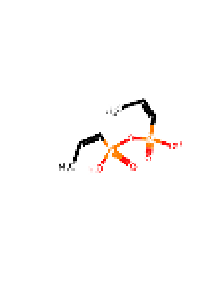 C/C=C\P(=O)(O)OP(=O)(O)/C=C\C